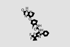 O=C(Nc1ccc(Oc2ccnc3[nH]c(=O)cnc23)cc1F)Nc1cc(C2(C(F)(F)F)CC2)nn1-c1ccccc1